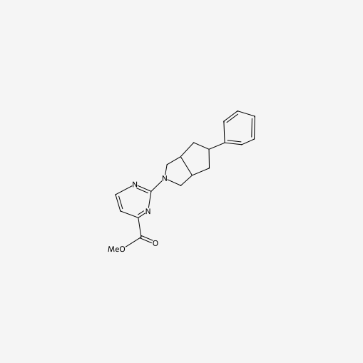 COC(=O)c1ccnc(N2CC3CC(c4ccccc4)CC3C2)n1